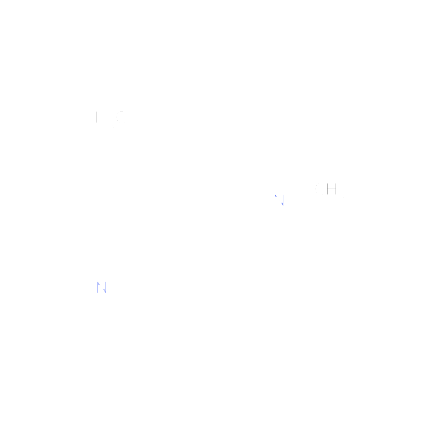 Cc1ccc2c(c1)c1c(C#N)cccc1n2C